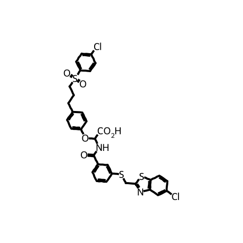 O=C(NC(Oc1ccc(CCCS(=O)(=O)c2ccc(Cl)cc2)cc1)C(=O)O)c1cccc(SCc2nc3cc(Cl)ccc3s2)c1